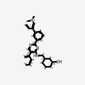 C=C/C(=C\N(C)C)c1cccc(-c2ncc(C(=C)/C=C\C)c(NCC3CCCC(O)C3)n2)c1